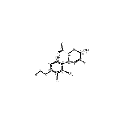 C=C(C)[C@@H]1C[C@H](O)C(C)=CC1c1c(O)cc(CCC)c(C)c1O